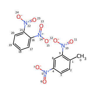 Cc1ccc([N+](=O)[O-])cc1[N+](=O)[O-].O=[N+]([O-])c1ccccc1[N+](=O)[O-]